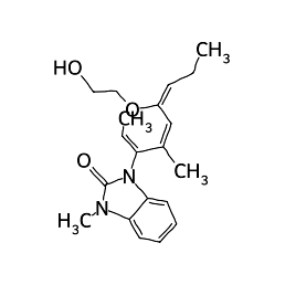 C\C=C(/C(C)=C\C(=C/CC)OCCO)n1c(=O)n(C)c2ccccc21